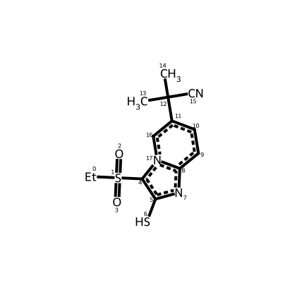 CCS(=O)(=O)c1c(S)nc2ccc(C(C)(C)C#N)cn12